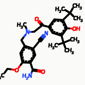 CCOc1cc(CN(C)CC(=O)c2cc(C(C)(C)C)c(O)c(C(C)(C)C)c2)c(C#N)cc1C(N)=O